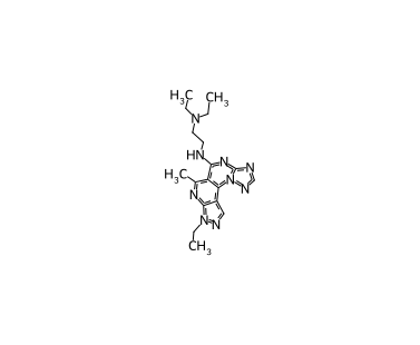 CCN(CC)CCNc1nc2ncnn2c2c1c(C)nc1c2cnn1CC